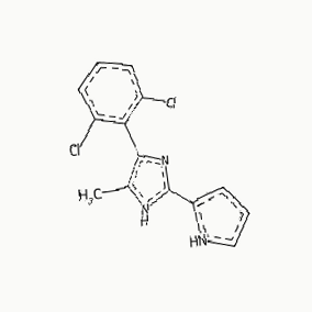 Cc1[nH]c(-c2ccc[nH]2)nc1-c1c(Cl)cccc1Cl